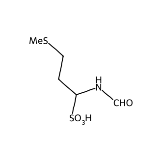 CSCCC(NC=O)S(=O)(=O)O